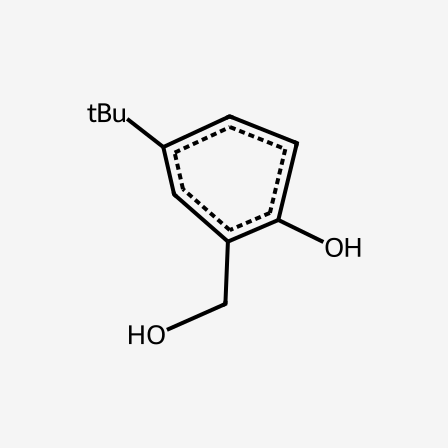 CC(C)(C)c1ccc(O)c(CO)c1